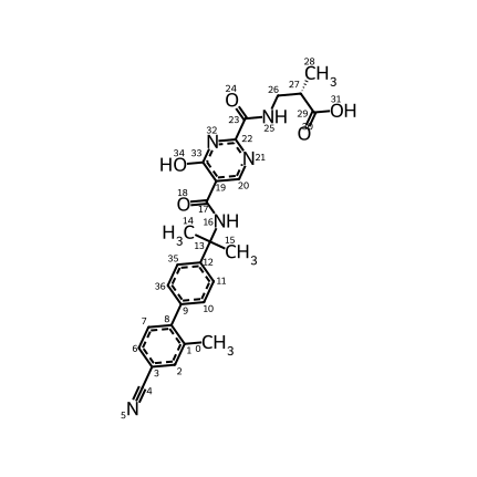 Cc1cc(C#N)ccc1-c1ccc(C(C)(C)NC(=O)c2cnc(C(=O)NC[C@H](C)C(=O)O)nc2O)cc1